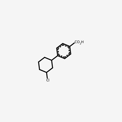 O=C(O)c1ccc(C2CCCC(Cl)C2)cc1